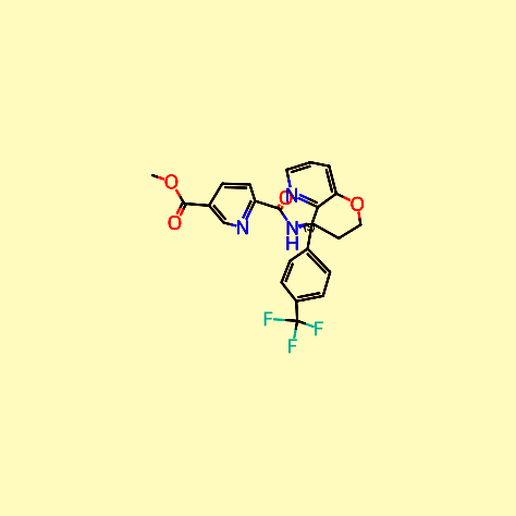 COC(=O)c1ccc(C(=O)N[C@]2(c3ccc(C(F)(F)F)cc3)CCOc3cccnc32)nc1